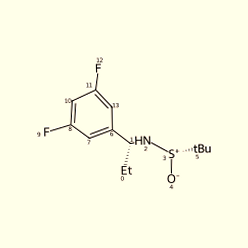 CC[C@@H](N[S@@+]([O-])C(C)(C)C)c1cc(F)cc(F)c1